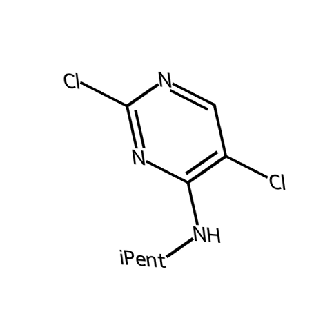 CCCC(C)Nc1nc(Cl)ncc1Cl